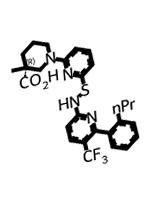 CCCc1ccccc1-c1nc(NSc2cccc(N3CCC[C@@](C)(C(=O)O)C3)n2)ccc1C(F)(F)F